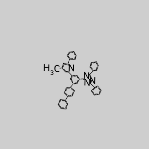 Cc1cc(-c2ccccc2)nc(-c2cc(-c3ccc(-c4ccccc4)cc3)cc(-c3nc(-c4ccccc4)nc(-c4ccccc4)n3)c2)c1